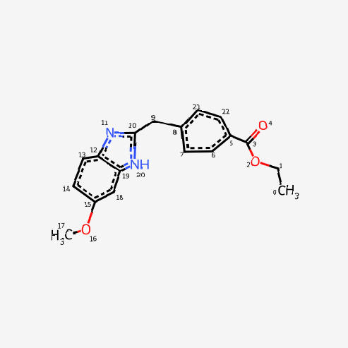 CCOC(=O)c1ccc(Cc2nc3ccc(OC)cc3[nH]2)cc1